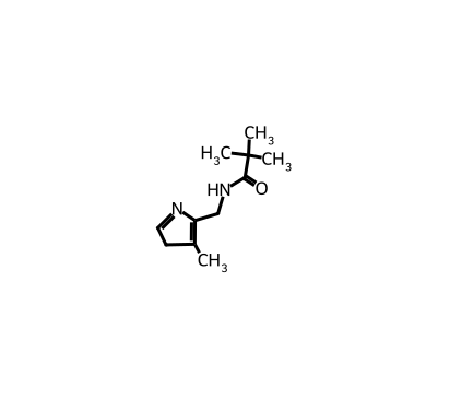 CC1=C(CNC(=O)C(C)(C)C)N=CC1